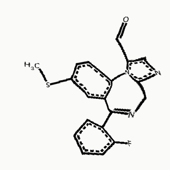 CSc1ccc2c(c1)C(c1ccccc1F)=NCc1ncc(C=O)n1-2